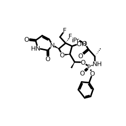 CC(C)OC(=O)[C@H](C)N[P@@](=O)(Oc1ccccc1)O[C@@H](C)[C@H]1O[C@@H](n2ccc(=O)[nH]c2=O)[C@@](F)(CF)C1O